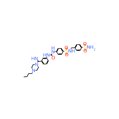 CCCCN1CCN(C(=N)c2cccc(NC(=O)Nc3ccc(S(=O)(=O)NCc4ccc(S(N)(=O)=O)cc4)cc3)c2)CC1